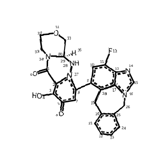 O=C1c2c(O)c(=O)cc(-c3cc(F)c4ncn5c4c3Cc3ccccc3C5)n2N[C@@H]2COCCN12